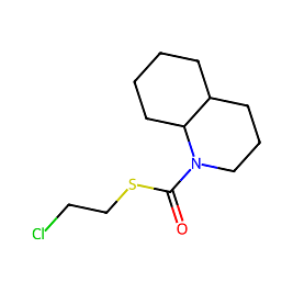 O=C(SCCCl)N1CCCC2CCCCC21